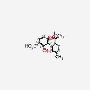 C=C(C)[C@@H]1CCC(C)=C[C@H]1c1c(O)ccc(C(=O)O)c1O